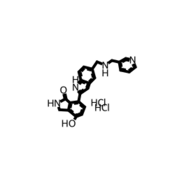 Cl.Cl.O=C1NCc2c(O)ccc(-c3cc4cc(CNCc5cccnc5)ccc4[nH]3)c21